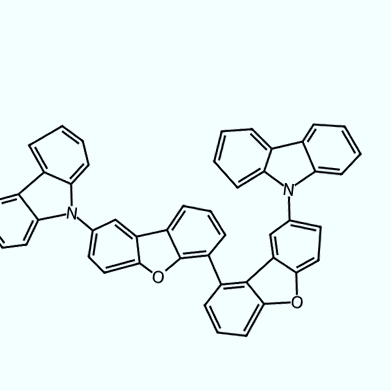 c1cc(-c2cccc3c2oc2ccc(-n4c5ccccc5c5ccccc54)cc23)c2c(c1)oc1ccc(-n3c4ccccc4c4ccccc43)cc12